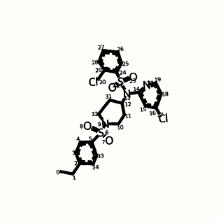 CCc1ccc(S(=O)(=O)N2CCC(N(c3cc(Cl)ccn3)S(=O)(=O)c3ccccc3Cl)CC2)cc1